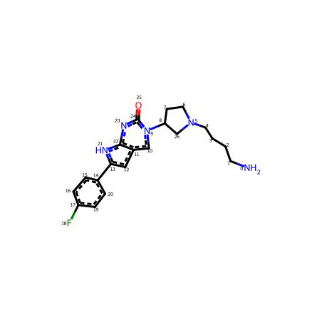 NCCCCN1CCC(n2cc3cc(-c4ccc(F)cc4)[nH]c3nc2=O)C1